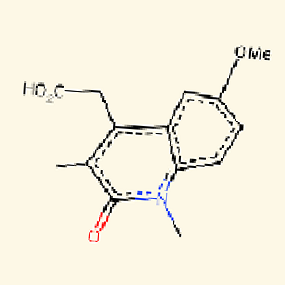 COc1ccc2c(c1)c(CC(=O)O)c(C)c(=O)n2C